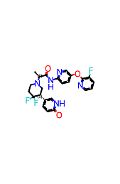 C[C@@H](C(=O)Nc1ccc(Oc2ncccc2F)cn1)N1CCC(F)(F)[C@@H](c2ccc(=O)[nH]c2)C1